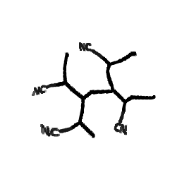 CC(C#N)C(C(C)C#N)C(C(C)C#N)C(C)C#N